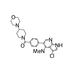 CNc1c(-c2ccc(C(=O)N3CCC(N4CCOCC4)CC3)cc2)cnc2[nH]cc(Cl)c12